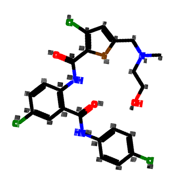 CN(CCO)Cc1cc(Cl)c(C(=O)Nc2ccc(Cl)cc2C(=O)Nc2ccc(Cl)cc2)s1